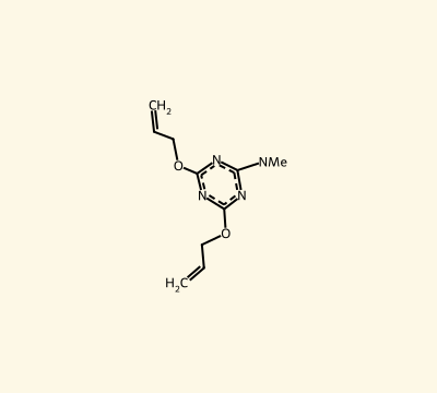 C=CCOc1nc(NC)nc(OCC=C)n1